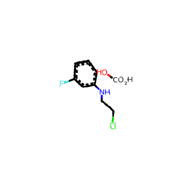 Fc1cccc(NCCCl)c1.O=C(O)O